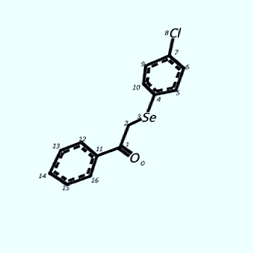 O=C(C[Se]c1ccc(Cl)cc1)c1ccccc1